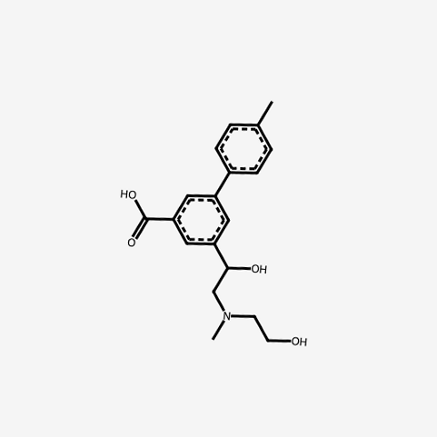 Cc1ccc(-c2cc(C(=O)O)cc(C(O)CN(C)CCO)c2)cc1